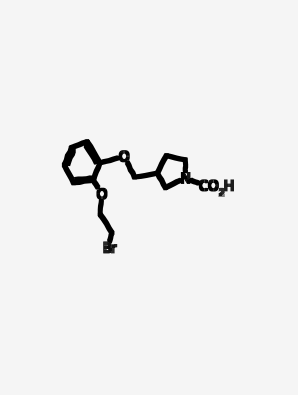 O=C(O)N1CCC(COc2ccccc2OCCBr)C1